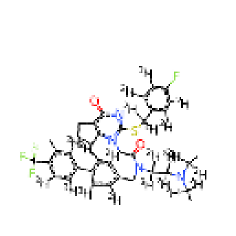 [2H]c1c([2H])c(C([2H])([2H])Sc2nc(=O)c3c(n2CC(=O)N(Cc2c([2H])c([2H])c(-c4c([2H])c([2H])c(C(F)(F)F)c(C)c4[2H])c([2H])c2[2H])C([2H])([2H])C([2H])([2H])N(C([2H])([2H])C)C([2H])([2H])C)CCC3)c([2H])c([2H])c1F